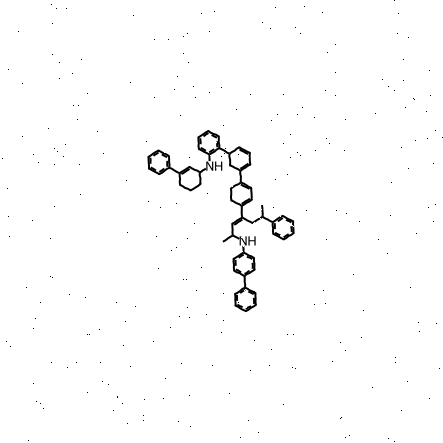 CC(/C=C(\CC(C)c1ccccc1)C1=CC=C(C2=CC=CC(c3ccccc3NC3C=C(c4ccccc4)CCC3)C2)CC1)Nc1ccc(-c2ccccc2)cc1